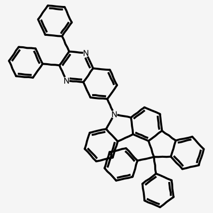 c1ccc(-c2nc3ccc(-n4c5ccccc5c5c6c(ccc54)-c4ccccc4C6(c4ccccc4)c4ccccc4)cc3nc2-c2ccccc2)cc1